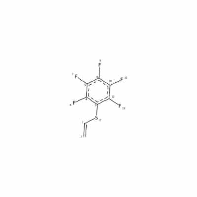 C=CSc1c(F)c(F)c(F)c(F)c1F